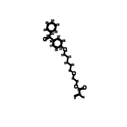 C=C(C)C(=O)OCCOCCCCCOc1ccc(C(=O)c2ccccc2)cc1